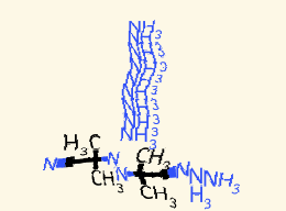 CC(C)(C#N)N=NC(C)(C)C#N.N.N.N.N.N.N.N.N.N.N.N